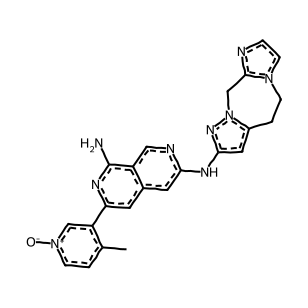 Cc1cc[n+]([O-])cc1-c1cc2cc(Nc3cc4n(n3)Cc3nccn3CC4)ncc2c(N)n1